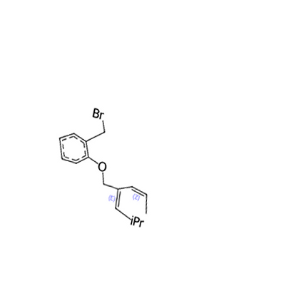 C/C=C\C(=C/C(C)C)COc1ccccc1CBr